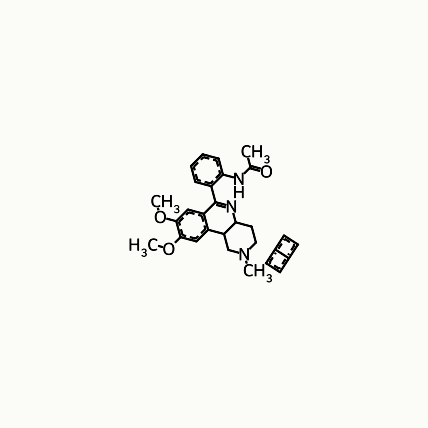 COc1cc2c(cc1OC)C1CN(C)CCC1N=C2c1ccccc1NC(C)=O.c1cc2ccc1-2